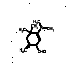 C=C1CC(C)(C)C(N(C)C)=CC1C=O